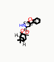 CC1(C)[C@H]2C[C@@H]1[C@]1(C)OB(C(Cc3coc4ccccc34)NC(=O)O)O[C@]1(C)C2